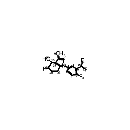 Cc1cn(-c2ccc(F)c(C(F)F)c2)c2c1C(O)C(F)CC2